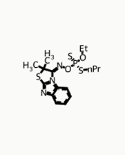 CCCSP(=S)(OCC)ON=C1n2c(nc3ccccc32)SC1(C)C